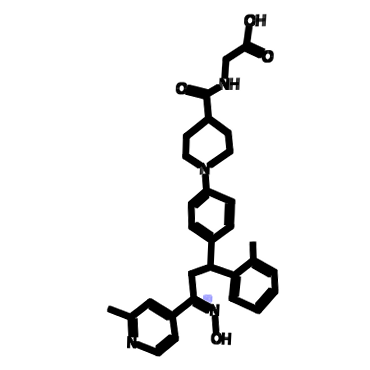 Cc1cc(/C(CC(c2ccc(N3CCC(C(=O)NCC(=O)O)CC3)cc2)c2ccccc2C)=N\O)ccn1